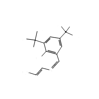 CC(C)(C)c1cc(/C=N\C=C\N)c(O)c(C(C)(C)C)c1